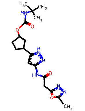 Cc1nnc(CC(=O)Nc2cc(C3CCC(OC(=O)NC(C)(C)C)C3)[nH]n2)o1